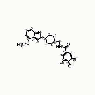 COc1cccc2nn(C3CCC(CNC(=O)c4cc(F)c(O)c(F)c4)CC3)cc12